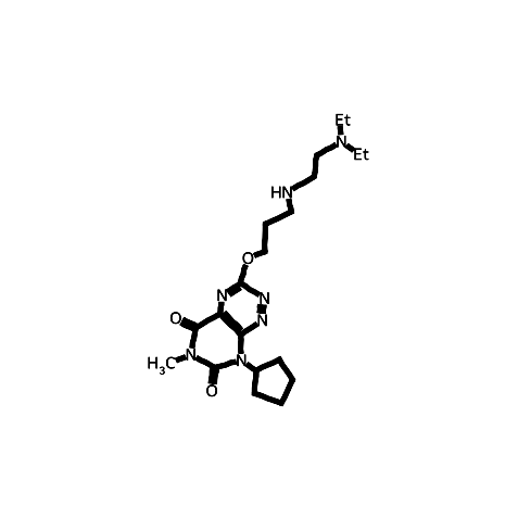 CCN(CC)CCNCCCOc1nnc2c(n1)c(=O)n(C)c(=O)n2C1CCCC1